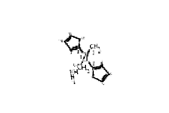 [CH3][Zr]([CH3])([C]1=CC=CC1)[C]1=CC=CC1.[H-].[H-]